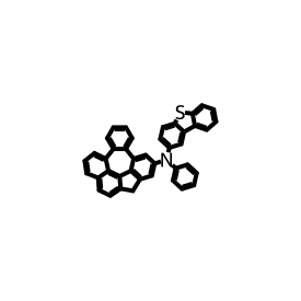 c1ccc(N(c2cc3c4c(c2)-c2ccccc2-c2cccc5ccc(c-4c25)C3)c2ccc3sc4ccccc4c3c2)cc1